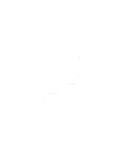 C=CCCC(C)COC[SiH3]